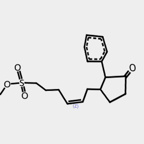 COS(=O)(=O)CCC/C=C\CC1CCC(=O)C1c1ccccc1